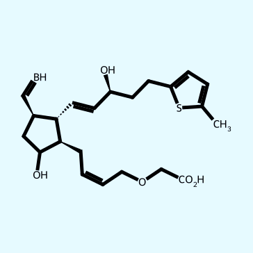 B=C[C@@H]1CC(O)[C@H](C/C=C\COCC(=O)O)[C@H]1/C=C/[C@@H](O)CCc1ccc(C)s1